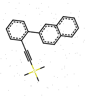 CS(C)(C)C#Cc1ccccc1-c1ccc2ccccc2c1